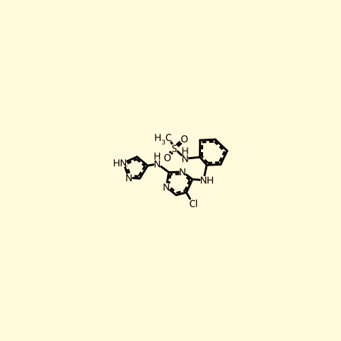 CS(=O)(=O)Nc1ccccc1Nc1nc(Nc2cn[nH]c2)ncc1Cl